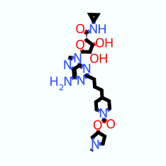 CN1CCC(OC(=O)N2CCC(CCCc3nc(N)c4ncn([C@@H]5O[C@H](C(=O)NC6CC6)C(O)[C@@H]5O)c4n3)CC2)C1